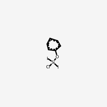 Cl[Si](I)(I)Oc1ccccc1